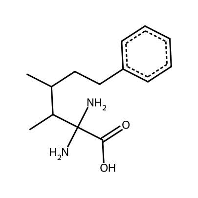 CC(CCc1ccccc1)C(C)C(N)(N)C(=O)O